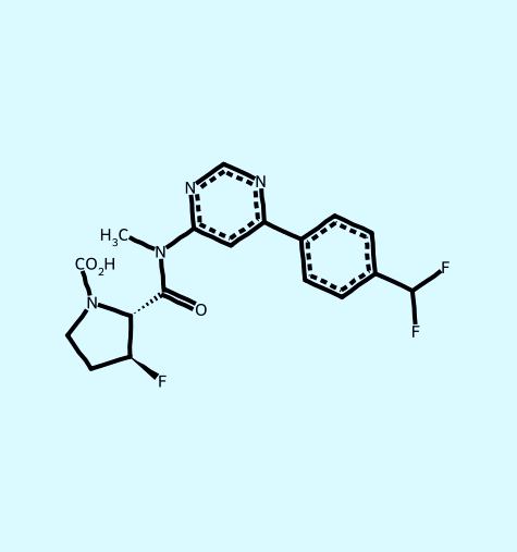 CN(C(=O)[C@@H]1[C@@H](F)CCN1C(=O)O)c1cc(-c2ccc(C(F)F)cc2)ncn1